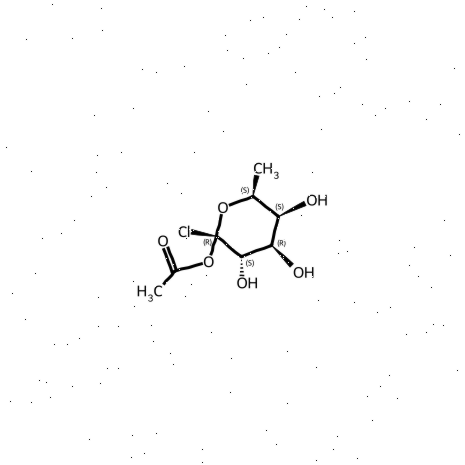 CC(=O)O[C@]1(Cl)O[C@@H](C)[C@@H](O)[C@@H](O)[C@@H]1O